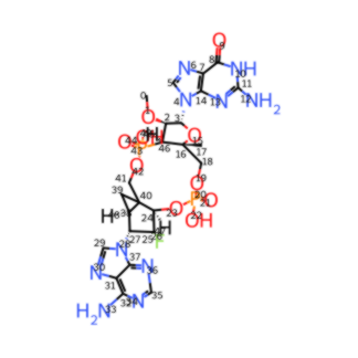 CO[C@H]1[C@H](n2cnc3c(=O)[nH]c(N)nc32)O[C@]2(C)COP(=O)(O)O[C@H]3[C@@H](F)[C@H](n4cnc5c(N)ncnc54)[C@H]4CC43COP(=O)(O)[C@@H]12